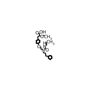 CCCNC(=O)N(CCCc1ccccc1)CCOc1ccc(CC(OCC)C(=O)O)cc1